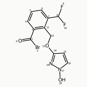 O=C(Br)c1cccc(C(F)F)c1COc1ccn(O)n1